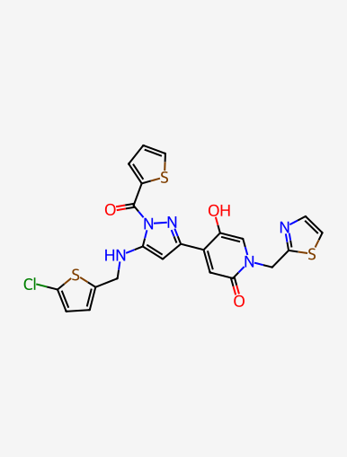 O=C(c1cccs1)n1nc(-c2cc(=O)n(Cc3nccs3)cc2O)cc1NCc1ccc(Cl)s1